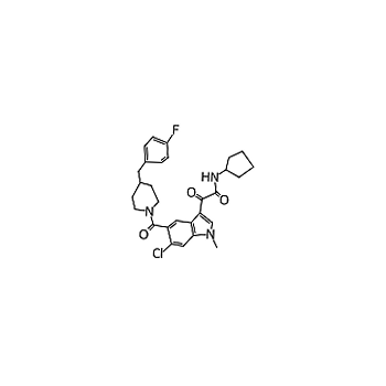 Cn1cc(C(=O)C(=O)NC2CCCC2)c2cc(C(=O)N3CCC(Cc4ccc(F)cc4)CC3)c(Cl)cc21